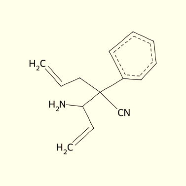 C=CCC(C#N)(c1ccccc1)C(N)C=C